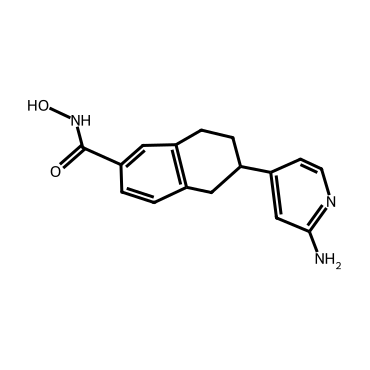 Nc1cc(C2CCc3cc(C(=O)NO)ccc3C2)ccn1